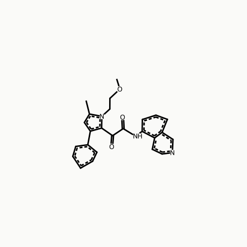 COCCn1c(C)cc(-c2ccccc2)c1C(=O)C(=O)Nc1cccc2cnccc12